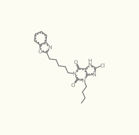 CCCCn1c(=O)n(CCCCCc2nc3ccccc3o2)c(=O)c2[nH]c(Cl)nc21